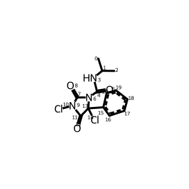 CC(C)NC(=O)N1C(=O)N(Cl)C(=O)C1(Cl)c1ccccc1